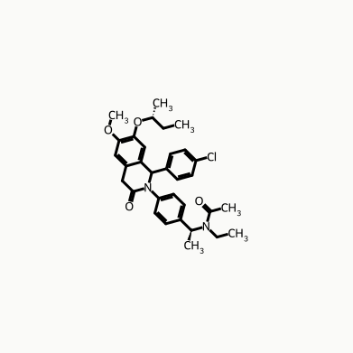 CC[C@@H](C)Oc1cc2c(cc1OC)CC(=O)N(c1ccc([C@H](C)N(CC)C(C)=O)cc1)C2c1ccc(Cl)cc1